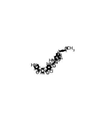 COCC#CCn1cc(Cc2cnc(C(=O)Nc3ccc(C(=O)N4CCN(C(=O)C5CCNCC5)CC4)c(Cl)c3)[nH]2)c(C(F)(F)F)n1